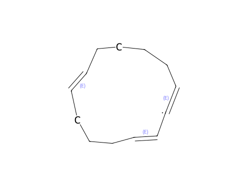 [C]1=C/CCCC/C=C/CCC/C=C/1